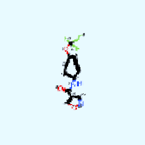 O=C(Nc1ccc(OC(F)(F)F)cc1)c1cnoc1